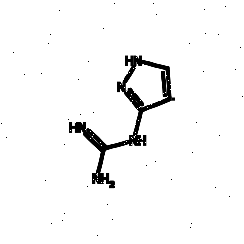 N=C(N)Nc1[c]c[nH]n1